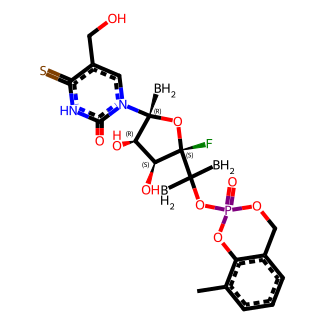 BC(B)(OP1(=O)OCc2cccc(C)c2O1)[C@@]1(F)O[C@@](B)(n2cc(CO)c(=S)[nH]c2=O)[C@H](O)[C@@H]1O